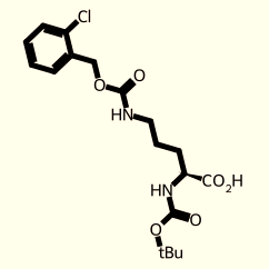 CC(C)(C)OC(=O)N[C@@H](CCCNC(=O)OCc1ccccc1Cl)C(=O)O